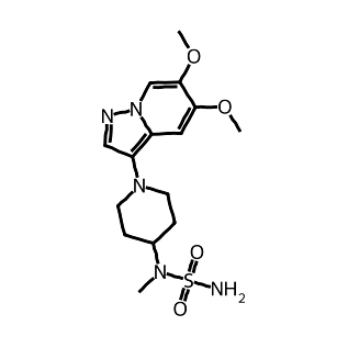 COc1cc2c(N3CCC(N(C)S(N)(=O)=O)CC3)cnn2cc1OC